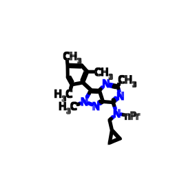 CCCN(CC1CC1)c1nc(C)nc2c(-c3c(C)cc(C)cc3C)n(C)nc12